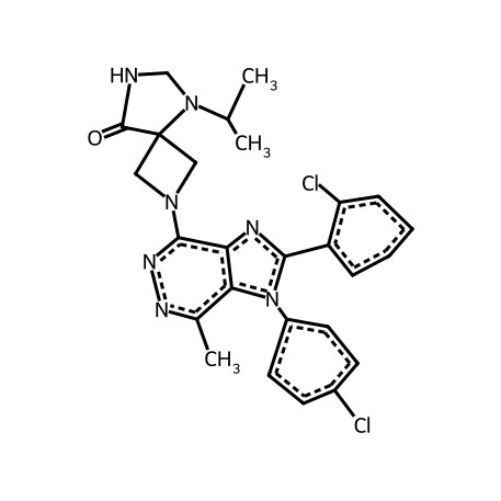 Cc1nnc(N2CC3(C2)C(=O)NCN3C(C)C)c2nc(-c3ccccc3Cl)n(-c3ccc(Cl)cc3)c12